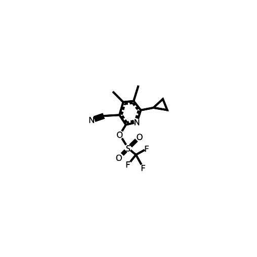 Cc1c(C2CC2)nc(OS(=O)(=O)C(F)(F)F)c(C#N)c1C